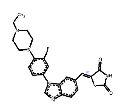 CCN1CCN(c2ccc(-n3cnc4ccc(/C=C5\SC(=O)NC5=O)cc43)cc2F)CC1